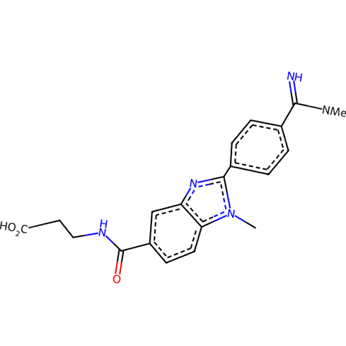 CNC(=N)c1ccc(-c2nc3cc(C(=O)NCCC(=O)O)ccc3n2C)cc1